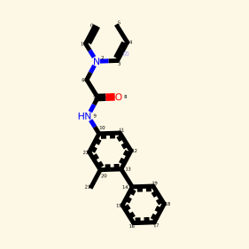 C=CN(/C=C\C)CC(=O)Nc1ccc(-c2ccccc2)c(C)c1